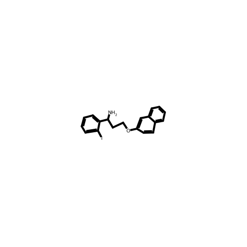 NC(CCOc1ccc2ccccc2c1)c1ccccc1I